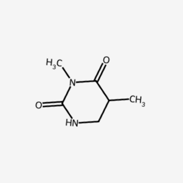 CC1CNC(=O)N(C)C1=O